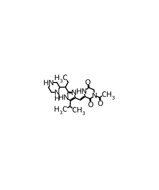 CCC(c1nc(/C=C2\NC(=O)CN(C(C)=O)C2=O)c(C(C)C)[nH]1)C1CNCCN1